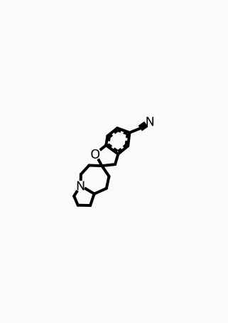 N#Cc1ccc2c(c1)CC1(CCC3CCCN3CC1)O2